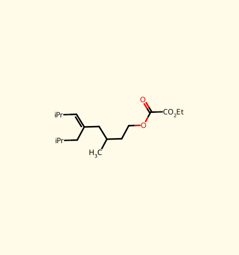 CCOC(=O)C(=O)OCCC(C)CC(=CC(C)C)CC(C)C